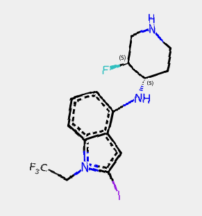 F[C@H]1CNCC[C@@H]1Nc1cccc2c1cc(I)n2CC(F)(F)F